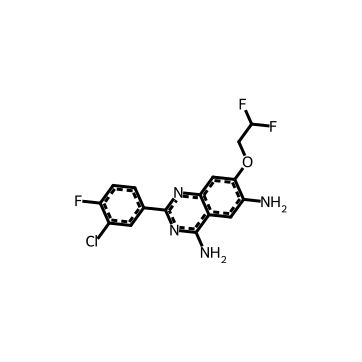 Nc1cc2c(N)nc(-c3ccc(F)c(Cl)c3)nc2cc1OCC(F)F